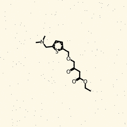 CCOC(=O)CC(=O)COCc1ccc(CN(C)C)s1